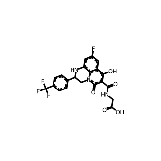 O=C(O)CNC(=O)c1c(O)c2cc(F)cc3c2n(c1=O)CC(c1ccc(C(F)(F)F)cc1)N3